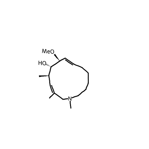 CO[C@H]1/C=C/CCCCCN(C)C/C(C)=C\[C@@H](C)[C@@H]1O